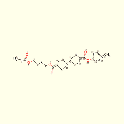 C=CC(=O)OCCCCOC(=O)C1CCC(C2CCC(C(=O)Oc3ccc(C)cc3)CC2)CC1